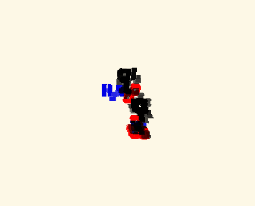 CCCC(N)C(=O)Oc1cccc(CO[N+](=O)[O-])c1